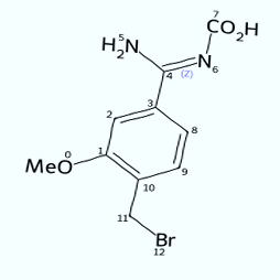 COc1cc(/C(N)=N/C(=O)O)ccc1CBr